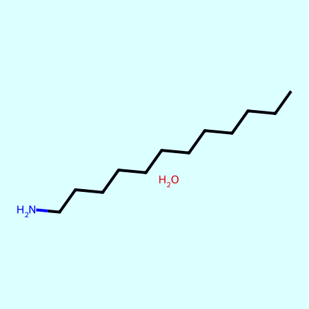 CCCCCCCCCCCCN.O